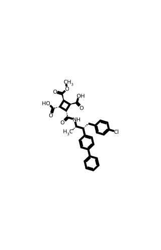 COC(=O)[C@H]1[C@@H](C(=O)O)[C@H](C(=O)N[C@@H](C)[C@H](Cc2ccc(Cl)cc2)c2ccc(-c3ccccc3)cc2)[C@@H]1C(=O)O